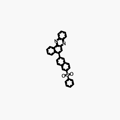 O=S(=O)(c1ccccc1)c1ccc2cc(-c3cc4nc5ccccc5nc4c4ccccc34)ccc2c1